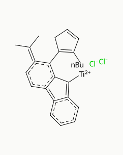 CCCCC1=C(c2c3c(ccc2=C(C)C)=c2ccccc2=[C]3[Ti+2])CC=C1.[Cl-].[Cl-]